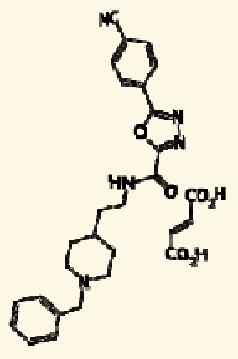 N#Cc1ccc(-c2nnc(C(=O)NCCC3CCN(Cc4ccccc4)CC3)o2)cc1.O=C(O)C=CC(=O)O